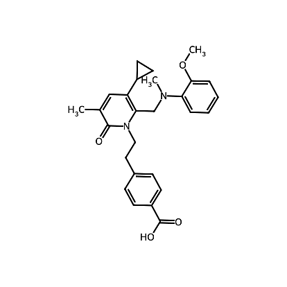 COc1ccccc1N(C)Cc1c(C2CC2)cc(C)c(=O)n1CCc1ccc(C(=O)O)cc1